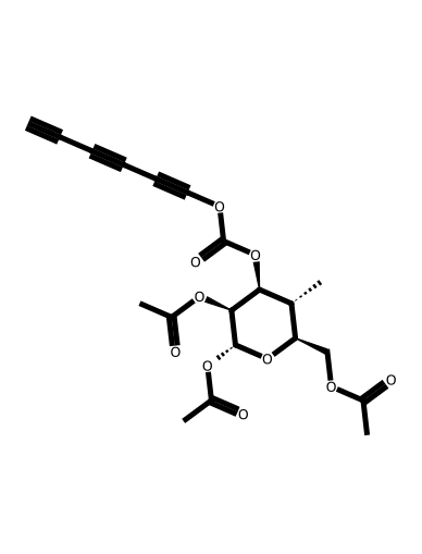 C#CC#CC#COC(=O)O[C@H]1[C@H](C)[C@@H](COC(C)=O)O[C@H](OC(C)=O)[C@H]1OC(C)=O